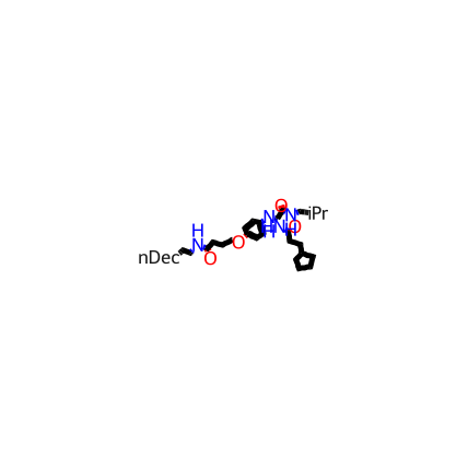 CCCCCCCCCCCCNC(=O)CCCOc1ccc(NC(NC(=O)CCC2CCCC2)C(=O)NCC(C)C)cc1